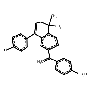 C=C(c1ccc(C(=O)O)cc1)c1ccc2c(c1)C(c1ccc(Cl)cc1)=CCC2(C)C